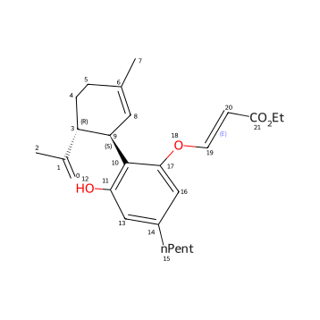 C=C(C)[C@@H]1CCC(C)=C[C@H]1c1c(O)cc(CCCCC)cc1O/C=C/C(=O)OCC